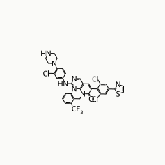 O=c1c(-c2c(Cl)cc(-c3nccs3)cc2Cl)cc2cnc(Nc3ccc(N4CCNCC4)c(Cl)c3)nc2n1Cc1ccccc1C(F)(F)F